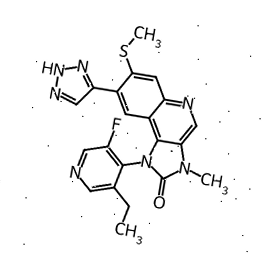 CCc1cncc(F)c1-n1c(=O)n(C)c2cnc3cc(SC)c(-c4cn[nH]n4)cc3c21